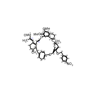 CO/C(C)=C/C1=C2/C=C/Oc3c(OC)c(OC)cc4c3C(CC3=CC=C(OCc5ccc([N+](=O)[O-])cc5)C(=CC3)OC3=CCC=C(C=C3)CC2N(C)CC1)N(C)CC4